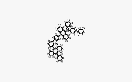 c1ccc(-c2ccc3c(c2)c2ccccc2n3-c2c3ccccc3c(-c3ccc4c(c3)sc3c(-c5c6ccccc6c(-c6ccccc6)c6ccccc56)cccc34)c3ccccc23)cc1